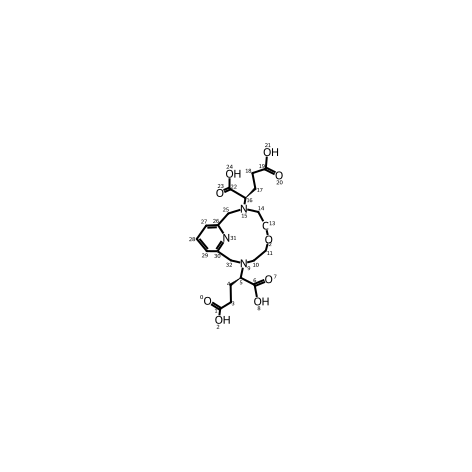 O=C(O)CC[C@H](C(=O)O)N1CCOCCN([C@H](CCC(=O)O)C(=O)O)Cc2cccc(n2)C1